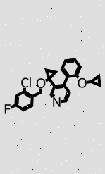 Fc1ccc(COC2(c3cnccc3-c3ccccc3OC3CC3)CC2)c(Cl)c1